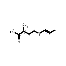 C/C=C/SCC[C@H](N)C(=O)O